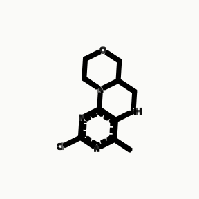 Cc1nc(Cl)nc2c1NCC1COCCN21